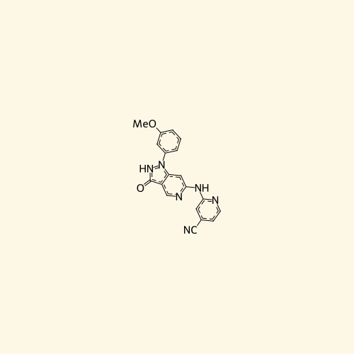 COc1cccc(-n2[nH]c(=O)c3cnc(Nc4cc(C#N)ccn4)cc32)c1